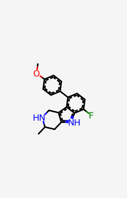 COc1ccc(-c2ccc(F)c3[nH]c4c(c23)CNC(C)C4)cc1